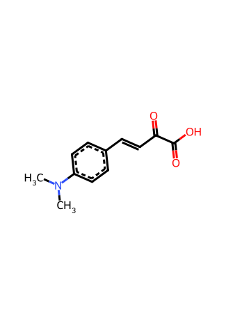 CN(C)c1ccc(/C=C/C(=O)C(=O)O)cc1